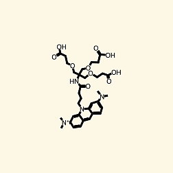 CN(C)c1ccc2cc3ccc(=[N+](C)C)cc-3n(CCCC(=O)NC(COCCC(=O)O)(COCCC(=O)O)COCCC(=O)O)c2c1